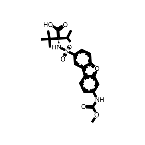 COC(=O)Nc1ccc2c(c1)oc1ccc(S(=O)(=O)N[C@](C(=O)O)(C(C)C)C(C)(C)C)cc12